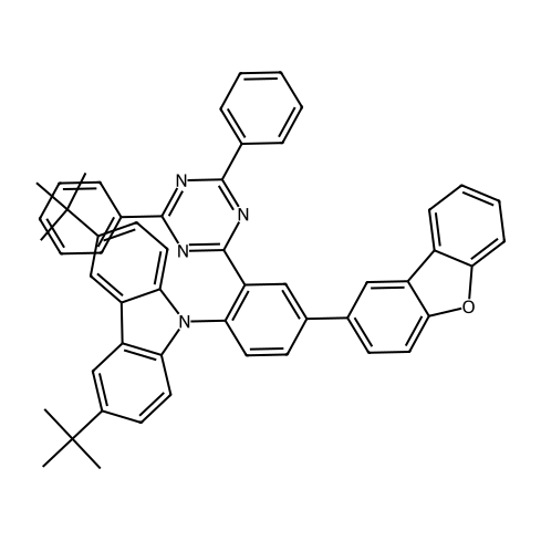 CC(C)(C)c1ccc2c(c1)c1cc(C(C)(C)C)ccc1n2-c1ccc(-c2ccc3oc4ccccc4c3c2)cc1-c1nc(-c2ccccc2)nc(-c2ccccc2)n1